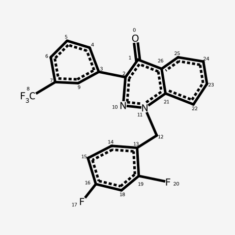 O=c1c(-c2cccc(C(F)(F)F)c2)nn(Cc2ccc(F)cc2F)c2ccccc12